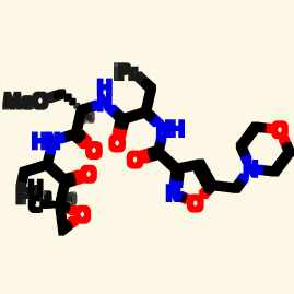 COC[C@H](NC(=O)C(CC(C)C)NC(=O)c1cc(CN2CCOCC2)on1)C(=O)NC(CC(C)C)C(=O)[C@@]1(C)CO1